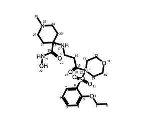 CCOc1ccccc1S(=O)(=O)[N+]1(C(=O)CCNC2(C(=O)NO)CCN(C)CC2)CCOCC1